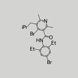 CCc1cc(Br)cc(CC)c1NC(=O)c1c(C)nc(C)c(CC(C)C)c1Br